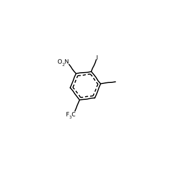 Cc1cc(C(F)(F)F)cc([N+](=O)[O-])c1I